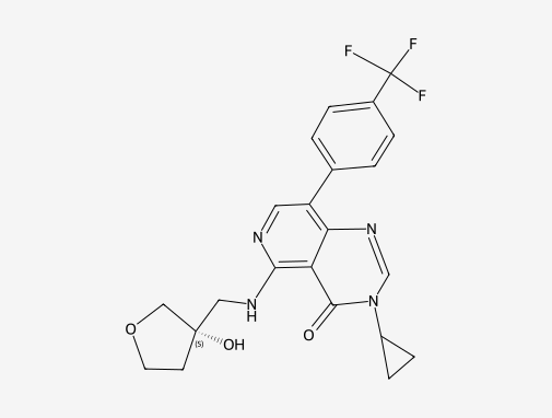 O=c1c2c(NC[C@@]3(O)CCOC3)ncc(-c3ccc(C(F)(F)F)cc3)c2ncn1C1CC1